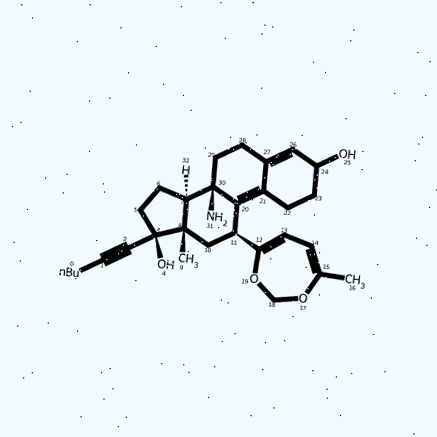 CCCCC#C[C@]1(O)CC[C@@H]2[C@]1(C)C[C@H](C1=CC=C(C)OCO1)C1=C3CCC(O)C=C3CC[C@]12N